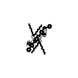 CCCCCCCCC(CCCCCCCC)Oc1c2cc(-c3ccc(-c4ccc(-c5ccccc5)s4)c4nsnc34)sc2c(OC(CCCCCCCC)CCCCCCCC)c2cc(-c3ccc(-c4ccccc4)c4nsnc34)sc12